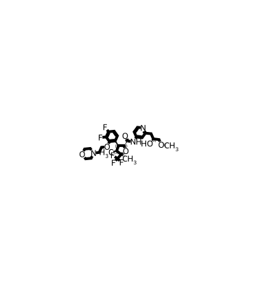 COC[C@@H](O)Cc1cc(NC(=O)[C@@H]2O[C@@](C)(C(F)(F)F)[C@@H](C)[C@H]2c2ccc(F)c(F)c2OCCN2CCOCC2)ccn1